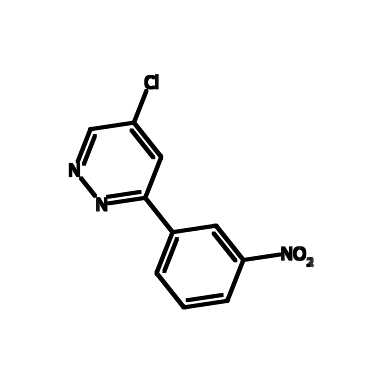 O=[N+]([O-])c1cccc(-c2cc(Cl)cnn2)c1